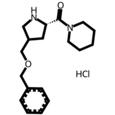 Cl.O=C([C@@H]1CC(COCc2ccccc2)CN1)N1CCCCC1